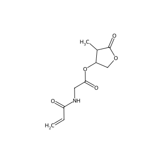 C=CC(=O)NCC(=O)OC1COC(=O)C1C